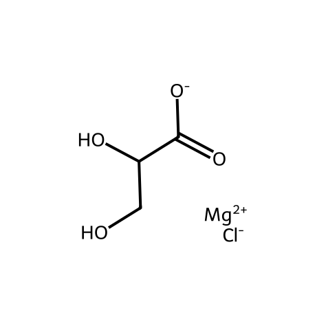 O=C([O-])C(O)CO.[Cl-].[Mg+2]